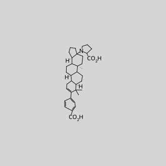 CC1(C)C(c2ccc(C(=O)O)cc2)=CCC2[C@H]3CCC4[C@H]5CCCC5(N5CCCC5C(=O)O)CC[C@@]4(C)C3CC[C@H]21